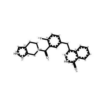 O=C(c1cc(Cc2n[nH]c(=O)c3ccccc23)ccc1F)N1CCc2c[nH]nc2C1